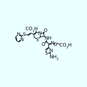 Nc1nc(C(=NOCC(=O)O)C(=O)NC2C(=O)N3C(C(=O)O)=C(C=CSc4ncccn4)CSC23)cs1